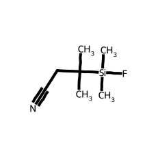 CC(C)(CC#N)[Si](C)(C)F